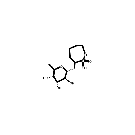 CC1O[C@H](CC2CCCCOP2(=O)O)[C@@H](O)[C@H](O)[C@@H]1O